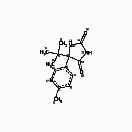 Cc1ccc(C2(C(C)(C)C)NC(=O)NC2=O)cn1